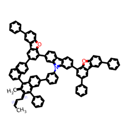 C=c1c(-c2ccccc2)c2ccc(-c3cccc(-n4c5cc(-c6cc(-c7ccccc7)cc7c6oc6ccc(-c8ccccc8)cc67)ccc5c5ccc(-c6cc(-c7ccccc7)cc7c6oc6ccc(-c8ccccc8)cc67)cc54)c3)cc2c(-c2ccccc2)/c1=C/C=C\C